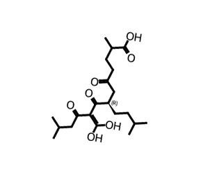 CC(C)CC[C@H](CC(=O)CCC(C)C(=O)O)C(=O)C(C(=O)CC(C)C)=C(O)O